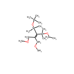 C[SiH2]O[Si](C)(C)C(=C([SiH2]O[SiH3])[SiH2]O[SiH3])[Si](C)(C)O[Si](C)(C)C